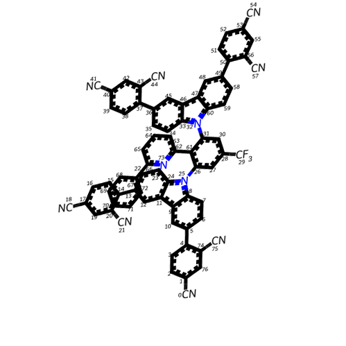 N#Cc1ccc(-c2ccc3c(c2)c2cc(-c4ccc(C#N)cc4C#N)ccc2n3-c2cc(C(F)(F)F)cc(-n3c4ccc(-c5ccc(C#N)cc5C#N)cc4c4cc(-c5ccc(C#N)cc5C#N)ccc43)c2-c2cccc(-c3ccccc3)n2)c(C#N)c1